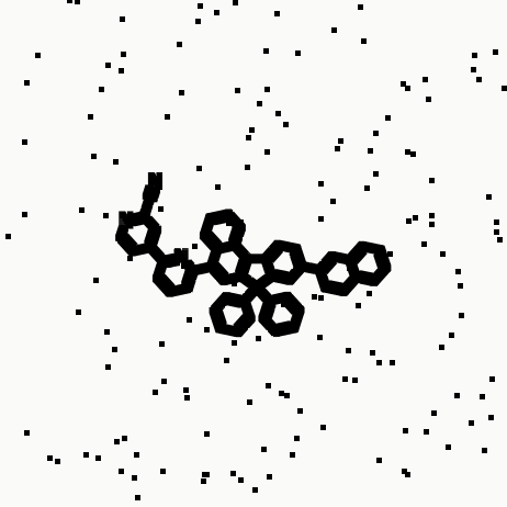 N#Cc1cc(-c2cccc(-c3cc4c(c5ccccc35)-c3ccc(-c5ccc6ccccc6c5)cc3C4(c3ccccc3)c3ccccc3)n2)ccn1